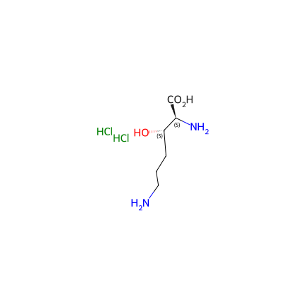 Cl.Cl.NCCC[C@H](O)[C@H](N)C(=O)O